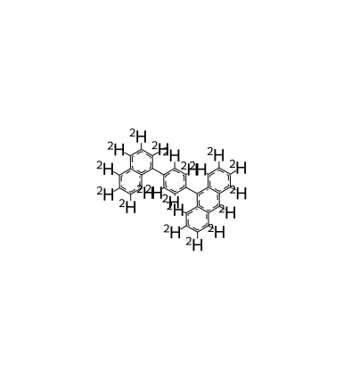 [2H]c1c([2H])c(-c2c3c([2H])c([2H])c([2H])c([2H])c3c([2H])c3c([2H])c([2H])c([2H])c([2H])c23)c([2H])c([2H])c1-c1c([2H])c([2H])c([2H])c2c([2H])c([2H])c([2H])c([2H])c12